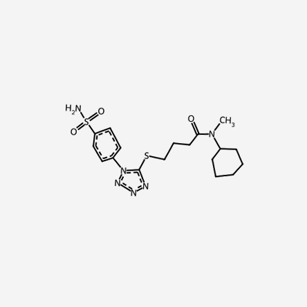 CN(C(=O)CCCSc1nnnn1-c1ccc(S(N)(=O)=O)cc1)C1CCCCC1